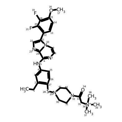 CCc1cc(Nc2nccn3c(-c4ccc(OC)c(F)c4F)cnc23)ccc1SN1CCN(C(=O)C[N+](C)(C)C)CC1